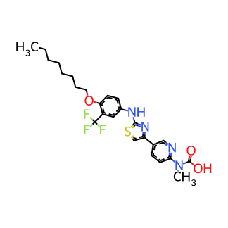 CCCCCCCCOc1ccc(Nc2nc(-c3ccc(N(C)C(=O)O)nc3)cs2)cc1C(F)(F)F